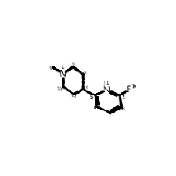 CN1CCC(c2cccc(F)n2)CC1